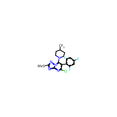 CSc1nc2nc(Cl)c(-c3c(F)cc(F)cc3F)c(N3CCC(C(F)(F)F)CC3)n2n1